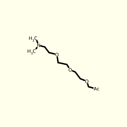 CC(=O)COCCOCCOCCN(C)C